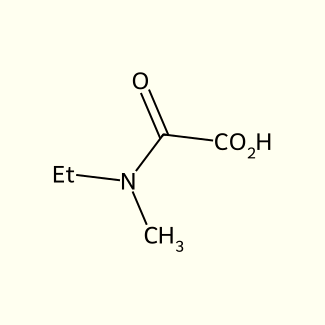 CCN(C)C(=O)C(=O)O